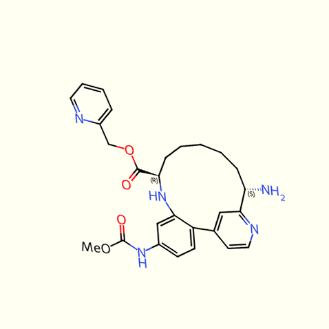 COC(=O)Nc1ccc2c(c1)N[C@@H](C(=O)OCc1ccccn1)CCCCC[C@H](N)c1cc-2ccn1